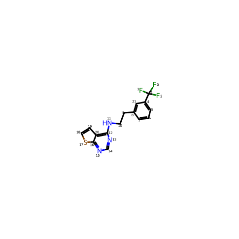 FC(F)(F)c1cccc(CCNc2ncnc3sccc23)c1